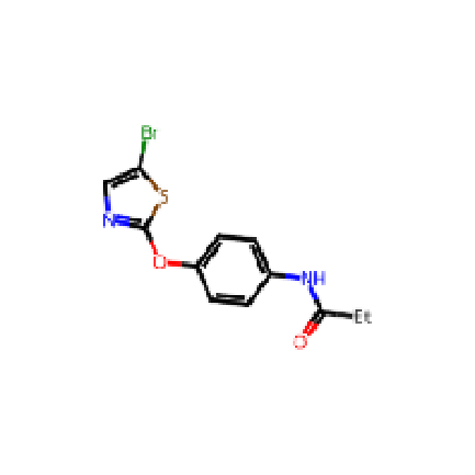 CCC(=O)Nc1ccc(Oc2ncc(Br)s2)cc1